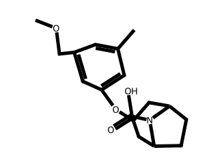 COCc1cc(C)cc(OC2CC3CCC(C2)N3C(=O)O)c1